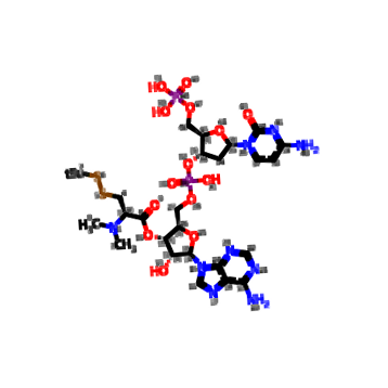 CN(C)[C@@H](CSSC(C)(C)C)C(=O)O[C@H]1[C@@H](O)[C@H](n2cnc3c(N)ncnc32)O[C@@H]1COP(=O)(O)O[C@H]1C[C@H](n2ccc(N)nc2=O)O[C@@H]1COP(=O)(O)O